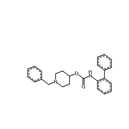 O=C(Nc1ccccc1-c1ccccc1)OC1CCN(Cc2ccccc2)CC1